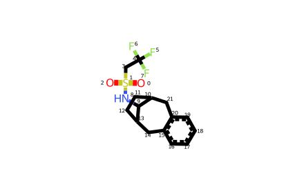 O=S(=O)(CC(F)(F)F)NC1C2CCC1Cc1ccccc1C2